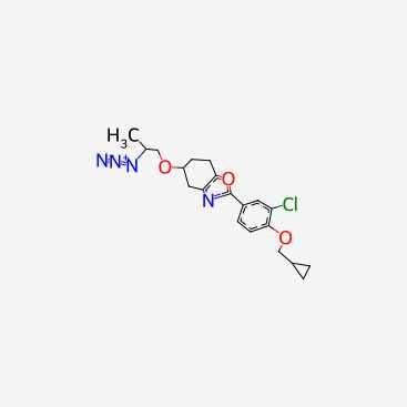 CC(COC1CCc2oc(-c3ccc(OCC4CC4)c(Cl)c3)nc2C1)N=[N+]=[N-]